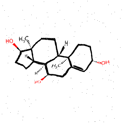 C[C@]12CC[C@H]3[C@@H]([C@H](O)CC4=C[C@@H](O)CC[C@@]43C)[C@@H]1CC[C@H]2O